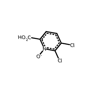 O=C(O)c1ccc(Cl)c(Cl)[n+]1[O-]